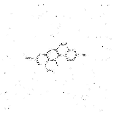 COc1ccc(-[n+]2c(C)cc3cc(OC)cc(OC)c3c2C)c(OC)c1